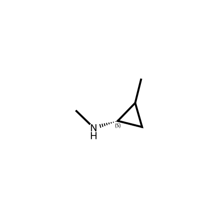 CN[C@H]1CC1C